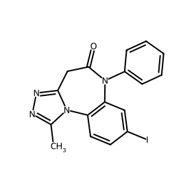 Cc1nnc2n1-c1ccc(I)cc1N(c1ccccc1)C(=O)C2